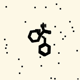 O=C(O)[C@@]1(Cc2ccccc2)CCCCN1